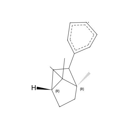 CC1(C)[C@@H]2CC[C@]1(C)C(c1cc[c]cc1)C2